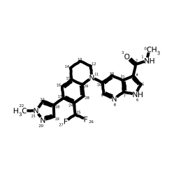 CNC(=O)c1c[nH]c2ncc(N3CCCc4cc(-c5cnn(C)c5)c(C(F)F)cc43)cc12